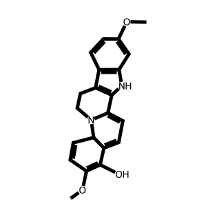 COC1=C(O)C2=CC=C3c4[nH]c5cc(OC)ccc5c4CCN3C2C=C1